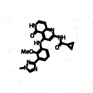 COc1c(Nc2cc(NC(=O)C3CC3)nc3cc[nH]c(=O)c23)cccc1-c1ncn(C)n1